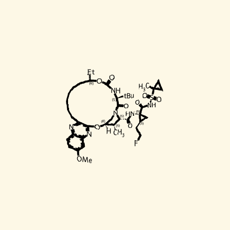 CC[C@@H]1CCCCCCc2nc3ccc(OC)cc3nc2O[C@H]2CN(C(=O)[C@H](C(C)(C)C)NC(=O)O1)[C@H](C(=O)N[C@]1(C(=O)NS(=O)(=O)C3(C)CC3)C[C@H]1CCF)[C@@H]2C